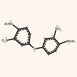 CC(=O)Nc1ccc(Oc2ccc(NC(C)=O)c([N+](=O)[O-])c2)cc1[N+](=O)[O-]